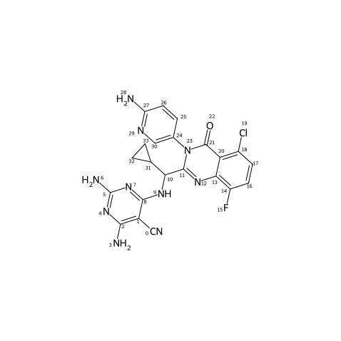 N#Cc1c(N)nc(N)nc1NC(c1nc2c(F)ccc(Cl)c2c(=O)n1-c1ccc(N)nc1)C1CC1